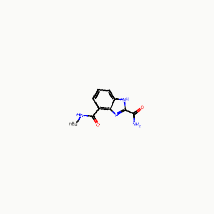 CCCCNC(=O)c1cccc2[nH]c(C(N)=O)nc12